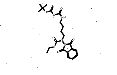 CCSC(=O)N(CCCCNC(=O)OC(=O)OC(C)(C)C)N1C(=O)c2ccccc2C1=O